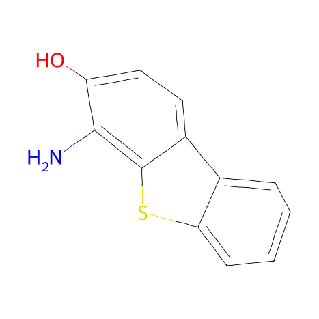 Nc1c(O)ccc2c1sc1ccccc12